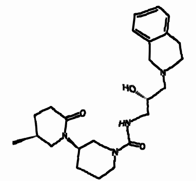 C[C@H]1CCC(=O)N([C@@H]2CCCN(C(=O)NC[C@H](O)CN3CCc4ccccc4C3)C2)C1